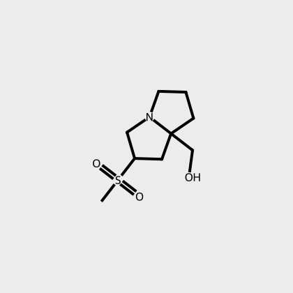 CS(=O)(=O)C1CN2CCCC2(CO)C1